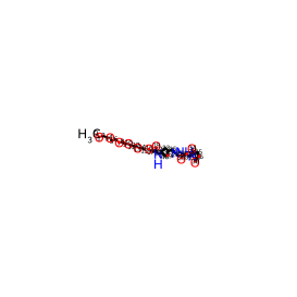 COCCOCCOCCOCCOCCOCC(=O)Nc1ccc(/C=N/NC(=O)CCN2C(=O)C=CC2=O)cc1